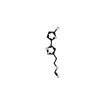 O=COCCc1cc(-c2ccc(Cl)s2)on1